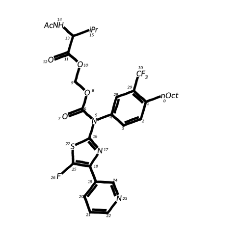 CCCCCCCCc1ccc(N(C(=O)OCOC(=O)C(NC(C)=O)C(C)C)c2nc(-c3cccnc3)c(F)s2)cc1C(F)(F)F